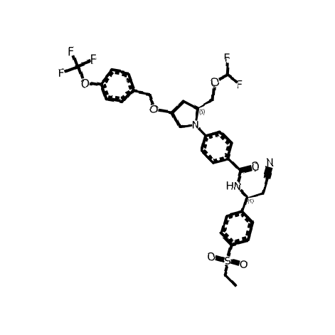 CCS(=O)(=O)c1ccc([C@H](CC#N)NC(=O)c2ccc(N3CC(OCc4ccc(OC(F)(F)F)cc4)C[C@H]3COC(F)F)cc2)cc1